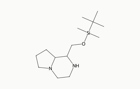 CC(C)(C)[Si](C)(C)OCC1NCCN2CCCC12